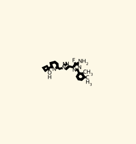 Cc1cccc(-c2nc(N)c(F)c(-c3cn(Cc4cccc(C5(O)CCC5)n4)nn3)n2)c1C